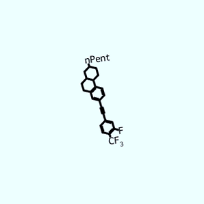 CCCCCC1CCC2c3ccc(C#Cc4ccc(C(F)(F)F)c(F)c4)cc3CCC2C1